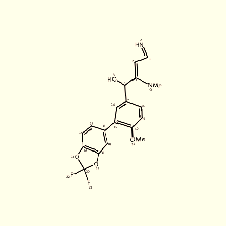 CN/C(=C\C=N)C(O)c1ccc(OC)c(-c2ccc3c(c2)OC(F)(F)O3)c1